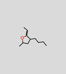 C/C=C1\OC(C)CC1CCCC